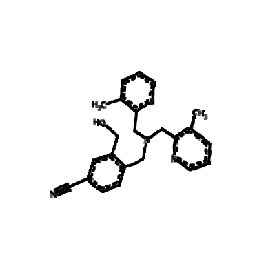 Cc1cccnc1CN(Cc1ccc(C#N)cc1CO)Cc1ncccc1C